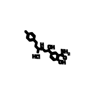 Cc1ccc(CCC(C)NCC(O)c2ccc(O)c(C(N)=O)c2)cc1.Cl